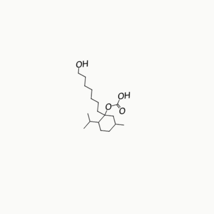 CC1CCC(C(C)C)C(CCCCCCCO)(OC(=O)O)C1